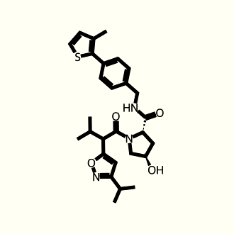 Cc1ccsc1-c1ccc(CNC(=O)[C@@H]2C[C@@H](O)CN2C(=O)C(c2cc(C(C)C)no2)C(C)C)cc1